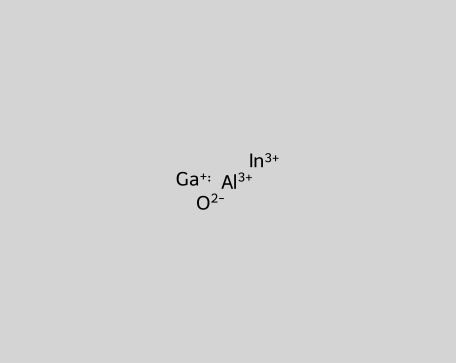 [Al+3].[Ga+].[In+3].[O-2]